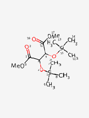 COC(=O)C(O[Si](C)(C)C)C(O[Si](C)(C)C)C(=O)OC